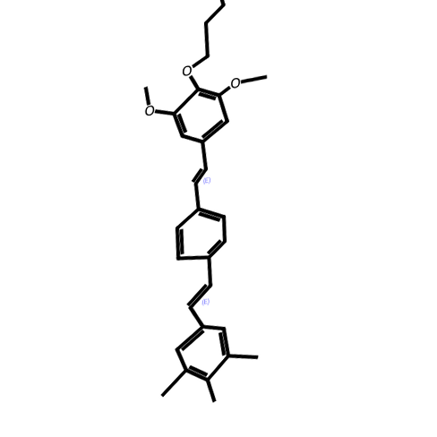 CCCCOc1c(OC)cc(/C=C/c2ccc(/C=C/c3cc(C)c(C)c(C)c3)cc2)cc1OC